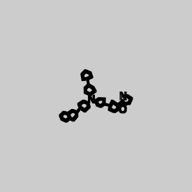 c1ccc(-c2ccc(N(c3ccc(-c4ccc5ccccc5c4)cc3)c3ccc(-c4ccc5oc6cccnc6c5c4)cc3)cc2)cc1